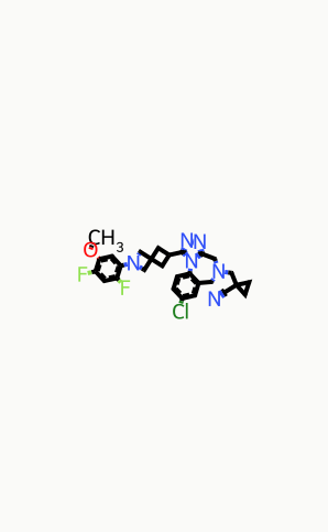 COc1cc(N2CC3(CC(c4nnc5n4-c4ccc(Cl)cc4CN(CC4(C#N)CC4)C5)C3)C2)c(F)cc1F